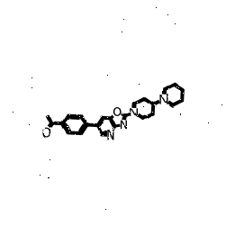 CC(=O)c1ccc(-c2cnc3nc(N4CCC(N5CCCCC5)CC4)oc3c2)cc1